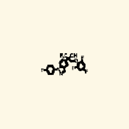 OC(COc1c(F)cc(F)cc1F)(c1ccc2c(cnn2-c2ccc(F)cc2)c1)C(F)(F)F